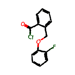 O=C(Cl)c1ccccc1COc1ccccc1F